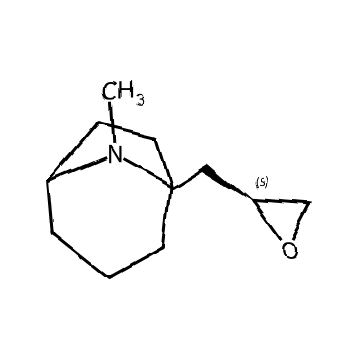 CN1C2CCCC1(C[C@H]1CO1)CC2